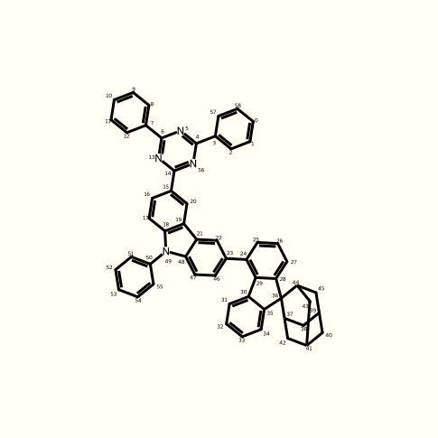 c1ccc(-c2nc(-c3ccccc3)nc(-c3ccc4c(c3)c3cc(-c5cccc6c5-c5ccccc5C65C6CC7CC(C6)CC5C7)ccc3n4-c3ccccc3)n2)cc1